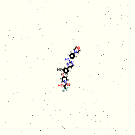 N#Cc1cc(-c2ccnc(Nc3ccc(N4CCOCC4)cc3)n2)ccc1OC1CCN(C(=O)[C@@H](O)C(F)F)CC1